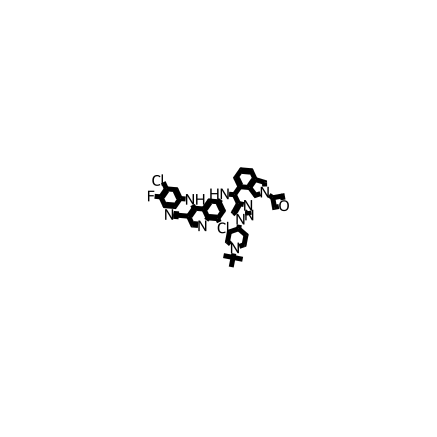 CC(C)(C)N1CCC(n2cc(C(Nc3cc(Cl)c4ncc(C#N)c(Nc5ccc(F)c(Cl)c5)c4c3)c3cccc4c3CN(C3COC3)C4)nn2)CC1